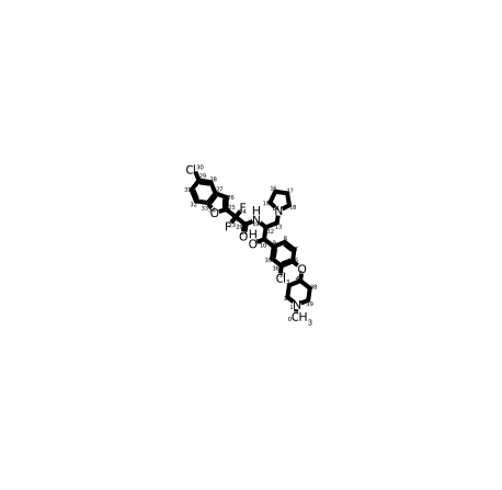 CN1CCC(Oc2ccc(C(O)C(CN3CCCC3)NC(=O)C(F)(F)c3cc4cc(Cl)ccc4o3)cc2Cl)CC1